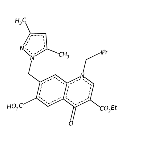 CCOC(=O)c1cn(CC(C)C)c2cc(Cn3nc(C)cc3C)c(C(=O)O)cc2c1=O